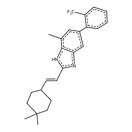 Cc1cc(-c2ccccc2C(F)(F)F)cc2nc(C=CC3CCC(C)(C)CC3)[nH]c12